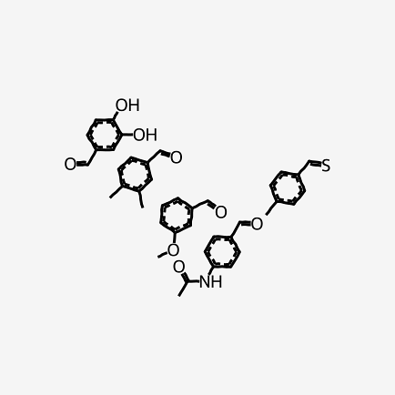 CC(=O)Nc1ccc(C=O)cc1.COc1cccc(C=O)c1.Cc1ccc(C=O)cc1C.Cc1ccc(C=S)cc1.O=Cc1ccc(O)c(O)c1